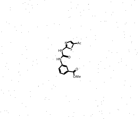 COC(=O)c1cccc(NC(=O)Nc2ncc(C(C)=O)s2)c1